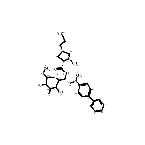 CCC[C@@H]1C[C@@H](C(=O)N[C@H](CN(C)c2ccc(-c3cccnc3)cc2)C2OC(SC)C(O)C(O)C2O)N(C)C1